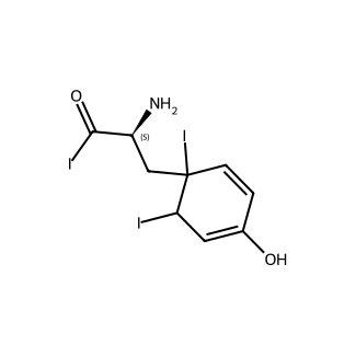 N[C@@H](CC1(I)C=CC(O)=CC1I)C(=O)I